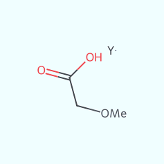 COCC(=O)O.[Y]